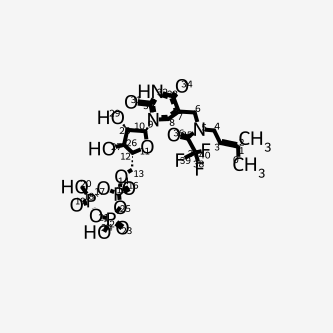 CC(C)=CCN(Cc1cn([C@@H]2O[C@H](COP3(=O)OP(=O)(O)OP(=O)(O)O3)C(O)[C@@H]2O)c(=O)[nH]c1=O)C(=O)C(F)(F)F